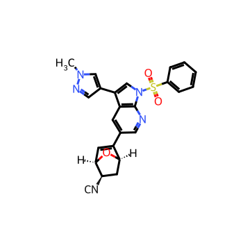 [C-]#[N+][C@@H]1C[C@H]2O[C@@H]1C=C2c1cnc2c(c1)c(-c1cnn(C)c1)cn2S(=O)(=O)c1ccccc1